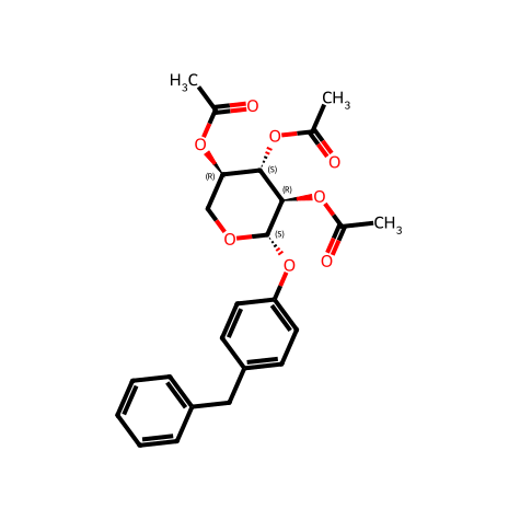 CC(=O)O[C@@H]1[C@@H](OC(C)=O)[C@H](Oc2ccc(Cc3ccccc3)cc2)OC[C@H]1OC(C)=O